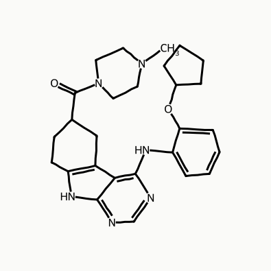 CN1CCN(C(=O)C2CCc3[nH]c4ncnc(Nc5ccccc5OC5CCCC5)c4c3C2)CC1